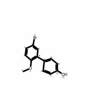 COc1ccc(Br)cc1-c1ccc(O)cc1